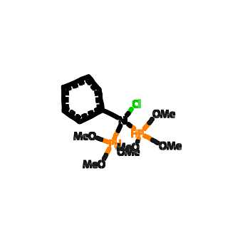 CO[PH](OC)(OC)[Ni]([Cl])([c]1ccccc1)[PH](OC)(OC)OC